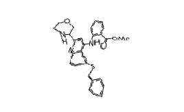 COC(=O)c1ccccc1Nc1cc(C2COCCN2)nc2ccc(SCc3ccccc3)cc12